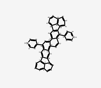 c1cc2c3c(cccc3c1)-c1cc3c(cc1-2)c(-c1ccncc1)cc1c2cc4c(c(-c5ccncc5)c2ccc31)-c1cccc2cccc-4c12